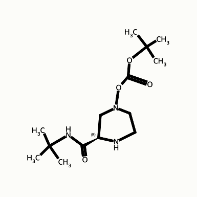 CC(C)(C)NC(=O)[C@H]1CN(OC(=O)OC(C)(C)C)CCN1